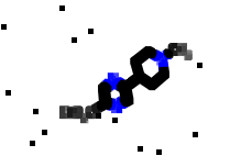 CCOC(=O)c1cnc(C2CCN(C)CC2)cn1